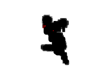 CCCCCCCC(=O)N1CCCN(S(=O)(=O)c2cccc(C(=O)N3C[C@@H](C(=O)N[C@H]4C[C@@H]4c4ccccc4)[C@H](C(=O)N[C@H]4C[C@@H]4c4ccccc4)C3)c2)C[C@H]1C(=O)NCCCCCC